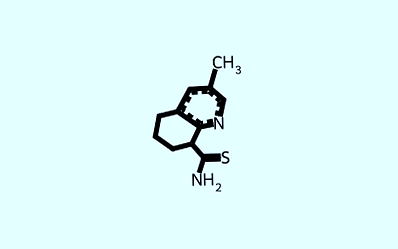 Cc1cnc2c(c1)CCCC2C(N)=S